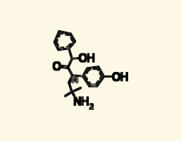 CC(C)(N)C[C@@H](C(=O)C(O)c1ccccc1)c1ccc(O)cc1